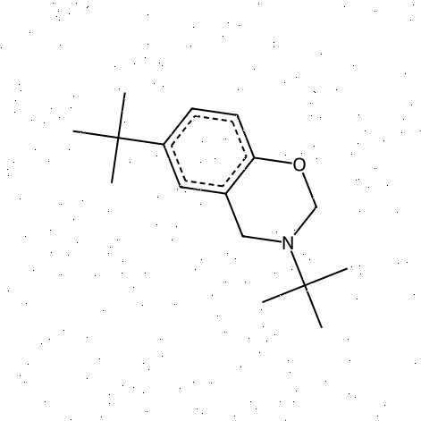 CC(C)(C)c1ccc2c(c1)CN(C(C)(C)C)CO2